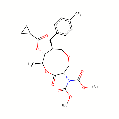 C[C@@H]1OC(=O)[C@@H](N(C(=O)OC(C)(C)C)C(=O)OC(C)(C)C)COC[C@H](Cc2ccc(C(F)(F)F)cc2)[C@H]1OC(=O)C1CC1